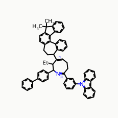 CCC1/C(C2CCc3ccc4c(c3-c3ccccc32)-c2ccccc2C4(C)C)=C\CC/C(c2cccc(-n3c4ccccc4c4ccccc43)c2)=N\C1c1ccc(-c2ccccc2)cc1